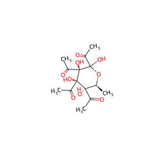 CC(=O)C1(O)O[C@@H](C)[C@@](O)(C(C)=O)[C@](O)(C(C)=O)[C@]1(O)C(C)=O